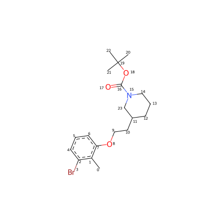 Cc1c(Br)cccc1OCCC1CCCN(C(=O)OC(C)(C)C)C1